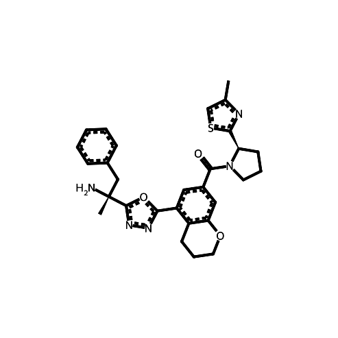 Cc1csc([C@H]2CCCN2C(=O)c2cc3c(c(-c4nnc([C@](C)(N)Cc5ccccc5)o4)c2)CCCO3)n1